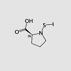 O=C(O)[C@@H]1CCCN1SI